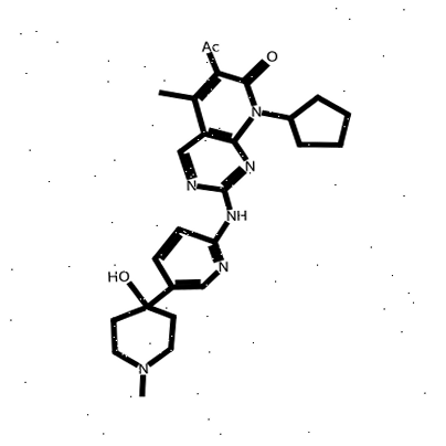 CC(=O)c1c(C)c2cnc(Nc3ccc(C4(O)CCN(C)CC4)cn3)nc2n(C2CCCC2)c1=O